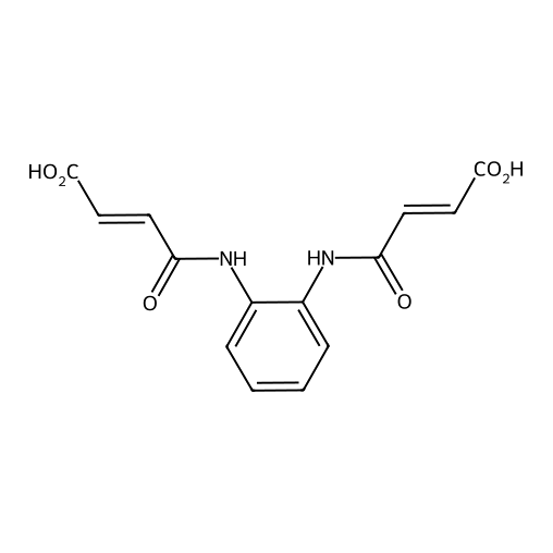 O=C(O)C=CC(=O)Nc1ccccc1NC(=O)C=CC(=O)O